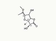 CON(C)[C@@H]1O[C@H]2C(OC(=O)[C@H]2O)C1O